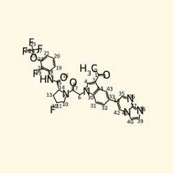 CC(=O)c1cn(CC(=O)N2C[C@H](F)C[C@H]2C(=O)Nc2cccc(OC(F)(F)F)c2F)c2ccc(-c3cnc4nccn4c3)cc12